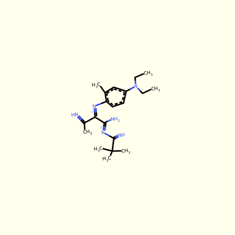 CCN(CC)c1ccc(/N=C(C(C)=N)\C(N)=N\C(=N)C(C)(C)C)c(C)c1